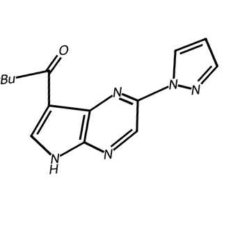 CC(C)(C)C(=O)c1c[nH]c2ncc(-n3cccn3)nc12